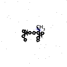 C/C=C\C=C/c1cc(-c2ccc(-c3ccc(-c4nc(-c5cccc(-c6ccccc6)c5)c5ccccc5n4)cc3)cc2)cc2c(-c3ccc4ccccc4c3)nc3ccccc3c12